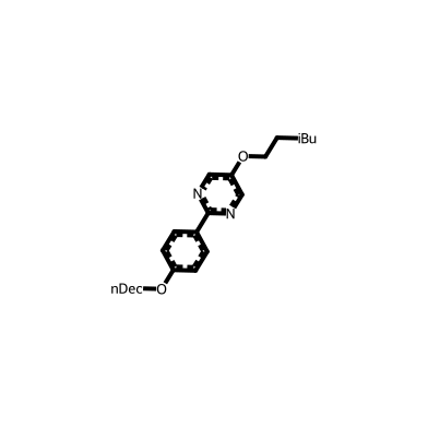 CCCCCCCCCCOc1ccc(-c2ncc(OCCC(C)CC)cn2)cc1